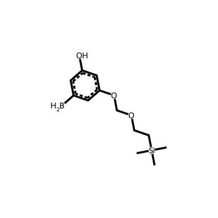 Bc1cc(O)cc(OCOCC[Si](C)(C)C)c1